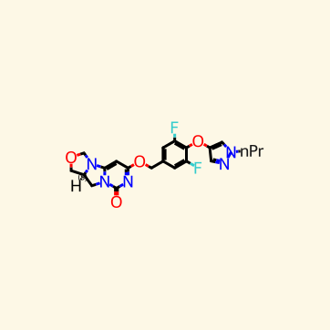 CCCn1cc(Oc2c(F)cc(COc3cc4n(c(=O)n3)C[C@H]3COCN43)cc2F)cn1